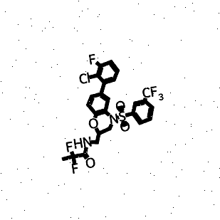 CC(F)(F)C(=O)NCC1CN(S(=O)(=O)c2cccc(C(F)(F)F)c2)c2cc(-c3cccc(F)c3Cl)ccc2O1